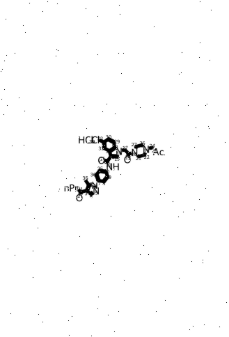 CCCC(=O)c1cnn(-c2ccc(NC(=O)c3cn(CC(=O)N4CCN(CC(C)=O)CC4)c4ccc(Cl)cc34)cc2)c1C.Cl